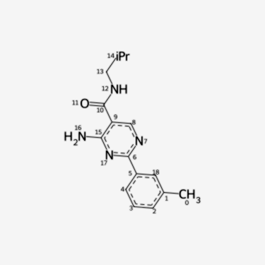 Cc1cccc(-c2ncc(C(=O)NCC(C)C)c(N)n2)c1